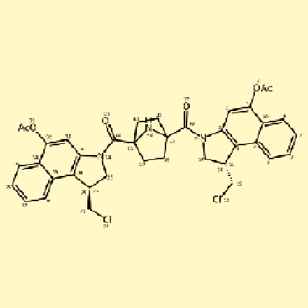 CC(=O)Oc1cc2c(c3ccccc13)[C@H](CCl)CN2C(=O)C12CCC(C(=O)N3C[C@@H](CCl)c4c3cc(OC(C)=O)c3ccccc43)(CC1)N2